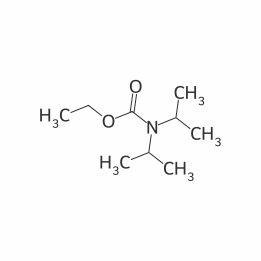 CCOC(=O)N(C(C)C)C(C)C